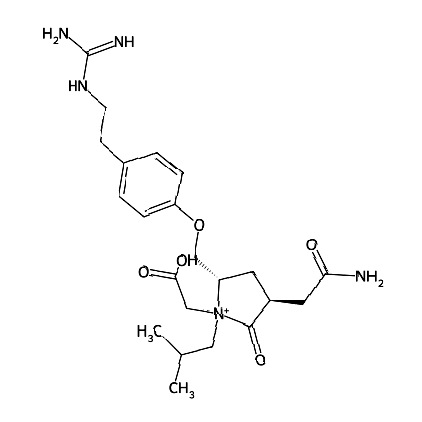 CC(C)C[N+]1(CC(=O)O)C(=O)[C@H](CC(N)=O)C[C@H]1COc1ccc(CCNC(=N)N)cc1